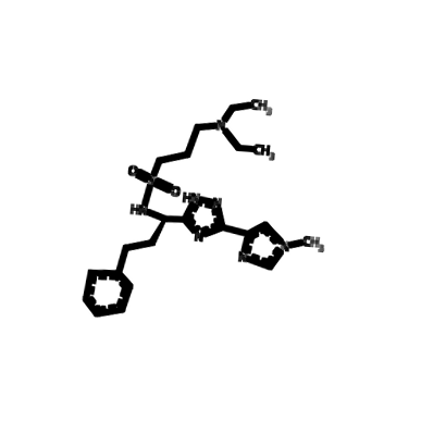 CCN(CC)CCCS(=O)(=O)N[C@H](CCc1ccccc1)c1nc(-c2cn(C)cn2)n[nH]1